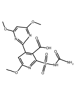 COc1cc(OC)nc(-c2cc(OC)nc(S(=O)(=O)NC(N)=O)c2C(=O)O)n1